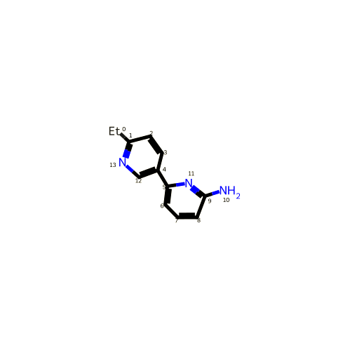 CCc1ccc(-c2cccc(N)n2)cn1